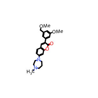 COCc1cc(OC)cc(-c2cc3ccc(N4CCCN(C)CC4)cc3oc2=O)c1